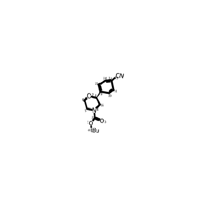 CC(C)(C)OC(=O)N1CCO[C@@H](c2ccc(C#N)cc2)C1